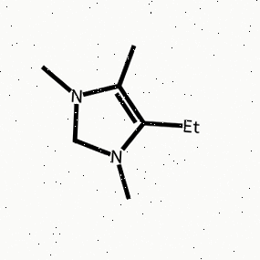 CCC1=C(C)N(C)CN1C